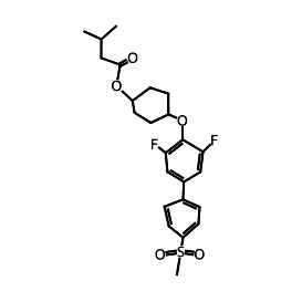 CC(C)CC(=O)OC1CCC(Oc2c(F)cc(-c3ccc(S(C)(=O)=O)cc3)cc2F)CC1